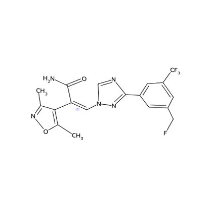 Cc1noc(C)c1/C(=C/n1cnc(-c2cc(CF)cc(C(F)(F)F)c2)n1)C(N)=O